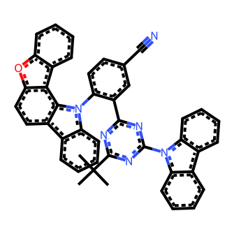 CC(C)(C)c1nc(-c2cc(C#N)ccc2-n2c3ccccc3c3ccc4oc5ccccc5c4c32)nc(-n2c3ccccc3c3ccccc32)n1